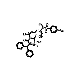 CC[C@@H](CCC[C@@H](CO)N(C(C)C)S(=O)(=O)c1ccc(C(C)=O)cc1)N(C(=O)OC)C(=O)[C@@H](N)C(c1ccccc1)c1ccccc1